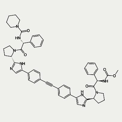 COC(=O)N[C@@H](C(=O)N1CCC[C@H]1c1ncc(-c2ccc(C#Cc3ccc(-c4cnc([C@@H]5CCCN5C(=O)[C@H](NC(=O)N5CCCCC5)c5ccccc5)[nH]4)cc3)cc2)[nH]1)c1ccccc1